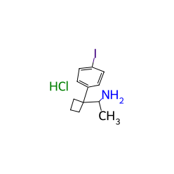 CC(N)C1(c2ccc(I)cc2)CCC1.Cl